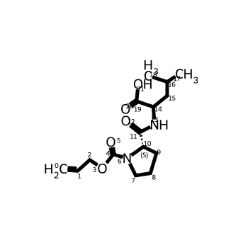 C=CCOC(=O)N1CCC[C@H]1C(=O)NC(CC(C)C)C(=O)O